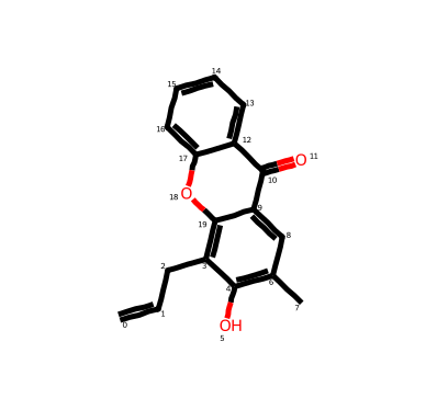 C=CCc1c(O)c(C)cc2c(=O)c3ccccc3oc12